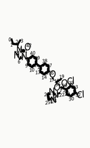 CCC(C)n1ncn(-c2ccc(-c3ccc(OC[C@@H]4CO[C@@](Cn5nccn5)(c5ccc(Cl)cc5Cl)O4)cc3)cc2)c1=O